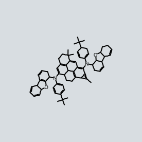 CC1=C2C(N(C3=CCC(C(C)(C)C)C=C3)C3CC=CC4C5C=CCCC5OC43)=C3C=C4C5=C(C=C(N(c6ccc(C(C)(C)C)cc6)C6CC=CC7=C6OC6C=CC=CC76)C6CCC(=C3C56)C12)CCC4(C)C